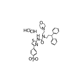 CS(=O)(=O)c1ccc(-c2csc(NC(=O)N(CCC(c3ccccc3)c3ccccc3)CCN3CCOCC3)n2)cc1.Cl.Cl